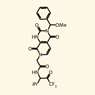 COC(c1ccccc1)n1c(=O)[nH]c2c(=O)n(CC(=O)NC(C(=O)C(F)(F)F)C(C)C)ccc2c1=O